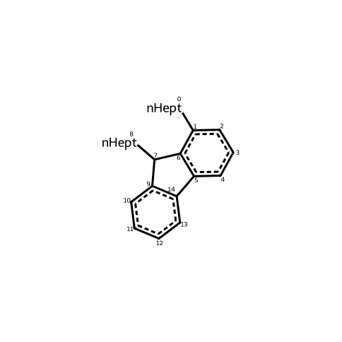 CCCCCCCc1cccc2c1C(CCCCCCC)c1ccccc1-2